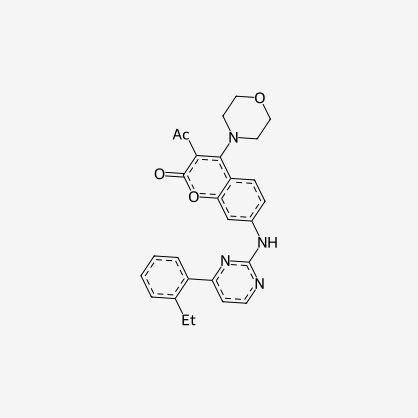 CCc1ccccc1-c1ccnc(Nc2ccc3c(N4CCOCC4)c(C(C)=O)c(=O)oc3c2)n1